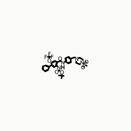 CC(C)(C)OC(=O)Nc1cc(-c2ccccc2)c(OC(F)(F)F)cc1C(=O)Nc1ccc(CN2CCN(S(C)(=O)=O)CC2)cc1